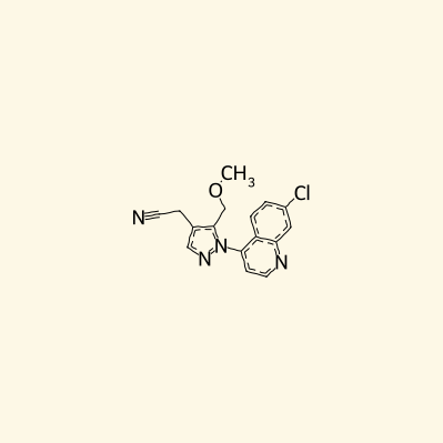 COCc1c(CC#N)cnn1-c1ccnc2cc(Cl)ccc12